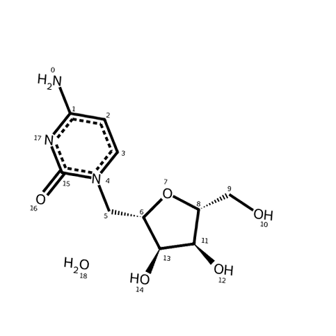 Nc1ccn(C[C@@H]2O[C@H](CO)[C@@H](O)[C@H]2O)c(=O)n1.O